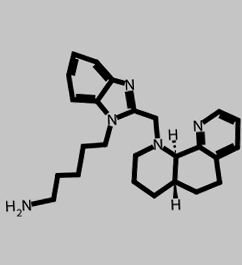 NCCCCCn1c(CN2CCC[C@H]3CCc4cccnc4[C@@H]32)nc2ccccc21